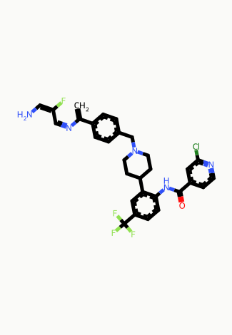 C=C(/N=C\C(F)=C/N)c1ccc(CN2CCC(c3cc(C(F)(F)F)ccc3NC(=O)c3ccnc(Cl)c3)CC2)cc1